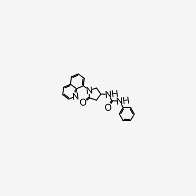 O=C(Nc1ccccc1)NC1CC(=O)N(c2cccc3cccnc23)C1